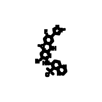 COc1cc(F)c(-c2cnn(C)c2)cc1Nc1ncc(Br)c(Nc2ccc3nccnc3c2P(C)(C)=O)n1